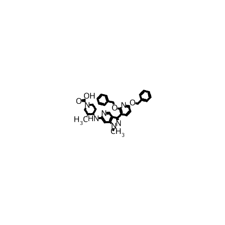 C[C@@H]1CN(C(=O)O)CC[C@H]1Nc1cc2c(cn1)c(-c1ccc(OCc3ccccc3)nc1OCc1ccccc1)nn2C